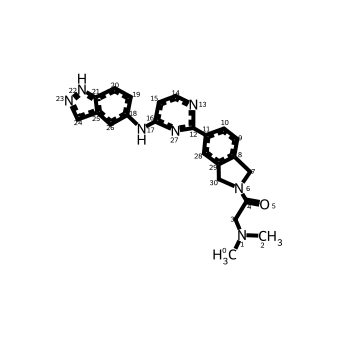 CN(C)CC(=O)N1Cc2ccc(-c3nccc(Nc4ccc5[nH]ncc5c4)n3)cc2C1